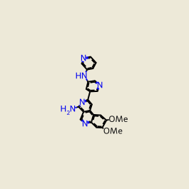 COc1cc2ncc3c(N)nc(-c4cncc(Nc5cccnc5)c4)cc3c2cc1OC